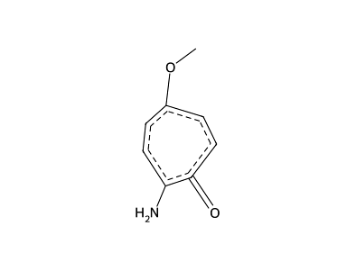 COc1ccc(N)c(=O)cc1